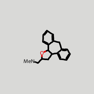 CNCC1CC2c3ccccc3Cc3ccccc3C2O1